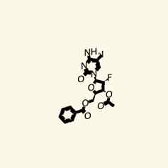 CC(=O)O[C@H]1[C@@H](F)[C@H](n2cc(I)c(N)nc2=O)O[C@@H]1COC(=O)c1ccccc1